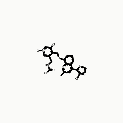 Cc1cc(-c2ncsc2Cl)c2cccc(OCc3c(Cl)c[n+]([O-])cc3CNC(=O)C(C)C)c2n1